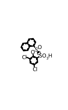 O=S(=O)(O)c1cc(Cl)cc(Cl)c1OS(=O)(=O)c1cccc2ccccc12